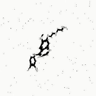 COc1cc2c(Nc3ccc(F)c(Cl)c3)ncnc2cc1OCCOCCN